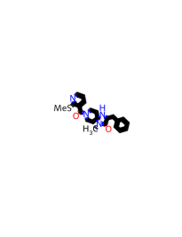 CSc1ncccc1C(=O)N1CCC2(CC1)NC(Cc1ccccc1)C(=O)N2C